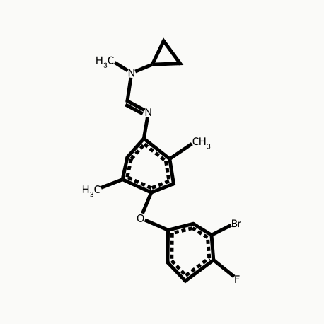 Cc1cc(Oc2ccc(F)c(Br)c2)c(C)cc1N=CN(C)C1CC1